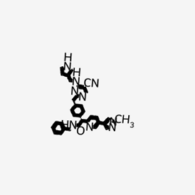 Cn1cc(-c2ccc(C(C(=O)NCc3ccccc3)[C@H]3CC[C@H](Cc4ncc(C#N)c(NCC5CCNC5)n4)CC3)nc2)cn1